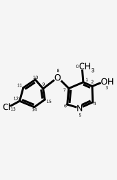 Cc1c(O)cncc1Oc1ccc(Cl)cc1